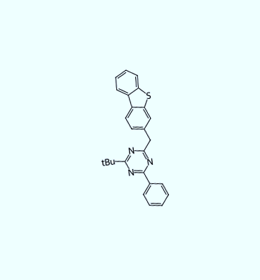 CC(C)(C)c1nc(Cc2ccc3c(c2)sc2ccccc23)nc(-c2ccccc2)n1